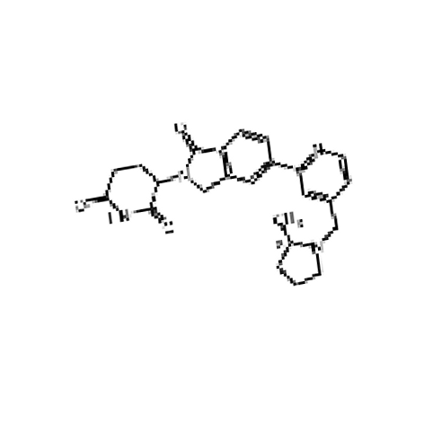 C[C@@H]1CCCN1Cc1ccnc(-c2ccc3c(c2)CN(C2CCC(=O)NC2=O)C3=O)c1